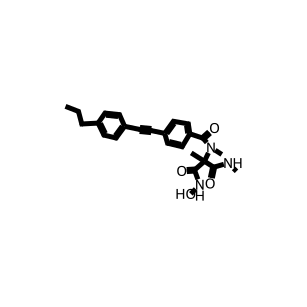 CCCc1ccc(C#Cc2ccc(C(=O)N(C)C(C)(C(=O)NC)C(=O)NO)cc2)cc1